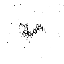 CCCN[C@H](CC)CCc1nc2c(-c3ccc(C(O)(CC)CC)nc3)cnn2c(N)c1C(C)=O